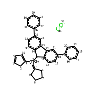 C1=CC[C]([Zr+2](=[C]2CCCC2)[CH]2c3ccc(-c4ccccc4)cc3-c3cc(-c4ccccc4)ccc32)=C1.[Cl-].[Cl-]